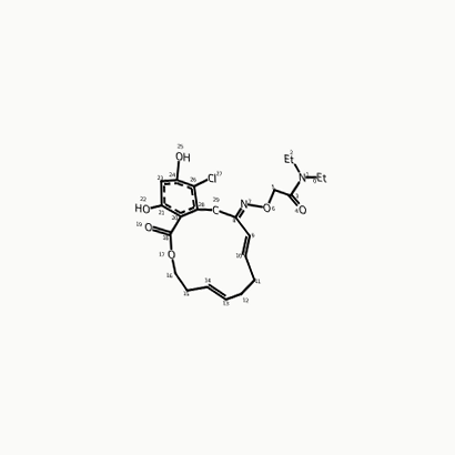 CCN(CC)C(=O)CO/N=C1\C=C\CC/C=C/CCOC(=O)c2c(O)cc(O)c(Cl)c2C1